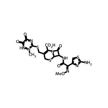 CO/N=C(\C(=O)NC1C(=O)N2C(C(=O)O)=C(CSc3nc(=O)c(=O)[nH]n3C)CSC12)c1csc(N)n1